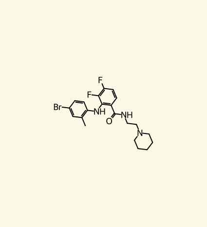 Cc1cc(Br)ccc1Nc1c(C(=O)NCCN2CCCCC2)ccc(F)c1F